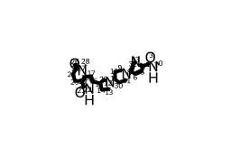 CNC(=O)c1ccc(N2CCC(N3CCC(c4cc5c(c(=O)[nH]4)CCC(=O)N5C)C3)CC2)cn1